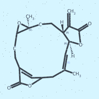 C=C1C(=O)O[C@H]2/C=C(\C)CC3C=C(CCC4O[C@@]4(C)CC[C@H]12)C(=O)O3